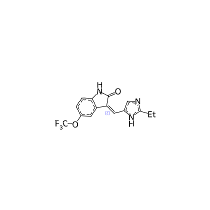 CCc1ncc(/C=C2\C(=O)Nc3ccc(OC(F)(F)F)cc32)[nH]1